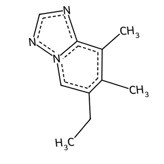 CCc1cn2ncnc2c(C)c1C